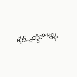 CCN(CC)CCOc1ccc2c(=O)c3cc(OCCN(CC)CC)ccc3sc2c1